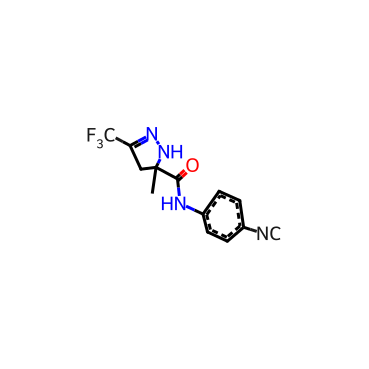 [C-]#[N+]c1ccc(NC(=O)C2(C)CC(C(F)(F)F)=NN2)cc1